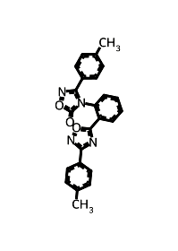 Cc1ccc(-c2noc(-c3ccccc3-n3c(-c4ccc(C)cc4)noc3=O)n2)cc1